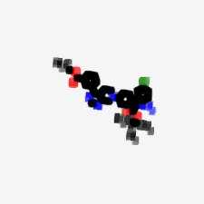 CCOC(=O)c1cccc(-c2ncnc3c2CCN(C2CCC(c4cccc(Cl)c4)(C(N)C(=O)OC(C)(C)C)CC2)C3)c1